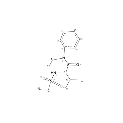 CCN(C(=O)C(NS(=O)(=O)CC)C(C)C)c1ccccc1